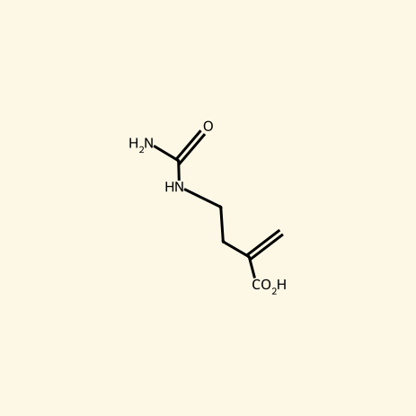 C=C(CCNC(N)=O)C(=O)O